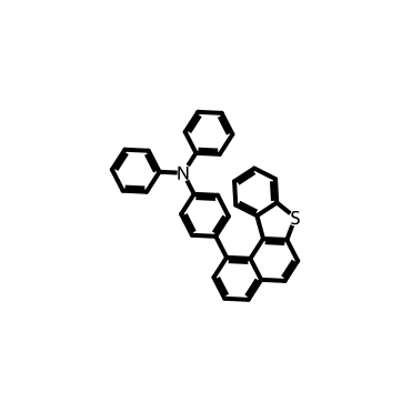 c1ccc(N(c2ccccc2)c2ccc(-c3cccc4ccc5sc6ccccc6c5c34)cc2)cc1